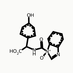 O=C(O)C(NC(=O)[N+]1([O-])C=Nc2ccccc21)c1ccc(O)cc1